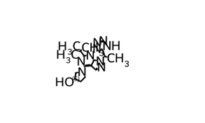 CC(c1nnn[nH]1)n1ncc2c(N3CC[C@H](O)C3)nc(C(C)(C)C)nc21